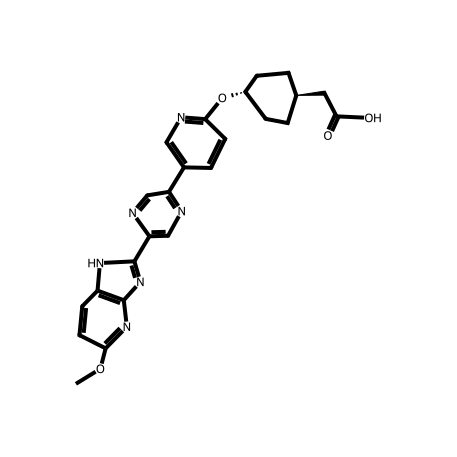 COc1ccc2[nH]c(-c3cnc(-c4ccc(O[C@H]5CC[C@H](CC(=O)O)CC5)nc4)cn3)nc2n1